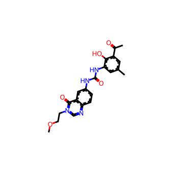 COCCn1cnc2ccc(NC(=O)Nc3cc(C)cc(C(C)=O)c3O)cc2c1=O